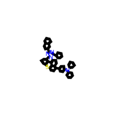 c1ccc(-c2nc(-c3ccc4ccccc4c3)nc(-c3cccc4c3-c3cccc5c(-c6ccc(N(c7ccccc7)c7ccccc7)cc6)ccc(c35)S4)n2)cc1